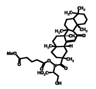 COC(=O)CCCC(=O)ON(C(=O)C1(C)CC[C@]2(C)CC[C@]3(C)C(=CC(=O)C4[C@@]5(C)CCCC(C)(C)C5CC[C@]43C)[C@@H]2C1)[C@@H](CO)C(=O)O